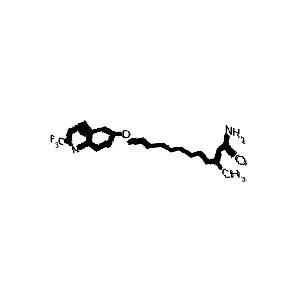 CC(C=CCCCCCCCOc1ccc2nc(C(F)(F)F)ccc2c1)=CC(N)=O